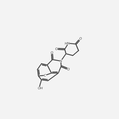 O=C1CCC(N2C(=O)C3=CC=C4CC3=C(C=C4O)C2=O)C(=O)N1